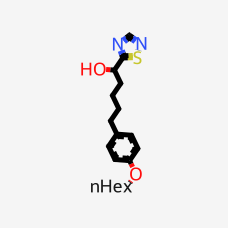 CCCCCCOc1ccc(CCCCC(O)c2ncns2)cc1